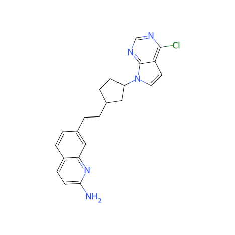 Nc1ccc2ccc(CCC3CCC(n4ccc5c(Cl)ncnc54)C3)cc2n1